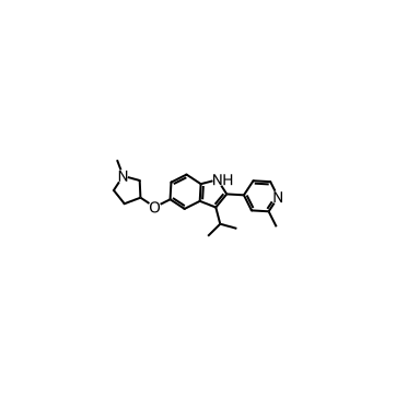 Cc1cc(-c2[nH]c3ccc(OC4CCN(C)C4)cc3c2C(C)C)ccn1